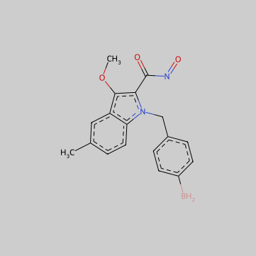 Bc1ccc(Cn2c(C(=O)N=O)c(OC)c3cc(C)ccc32)cc1